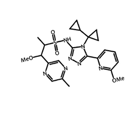 COc1cccc(-c2nnc(NS(=O)(=O)C(C)C(OC)c3cnc(C)cn3)n2C2(C3CC3)CC2)n1